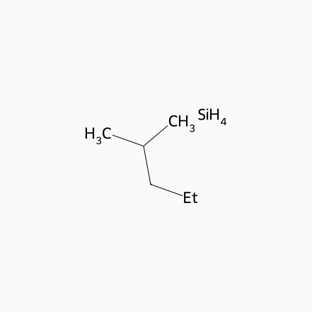 CCCC(C)C.[SiH4]